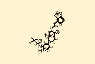 CC(C)(C)OC(=O)Nc1cc(N2CCN3C(=O)[C@@H](CCCc4cccc5ncsc45)C[C@H]3C2)ccn1